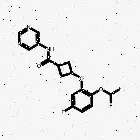 O=C(Nc1cncnc1)C1CC(Oc2cc(F)ccc2OC(F)F)C1